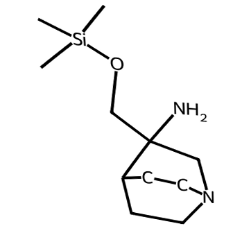 C[Si](C)(C)OCC1(N)CN2CCC1CC2